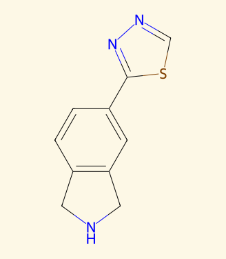 c1nnc(-c2ccc3c(c2)CNC3)s1